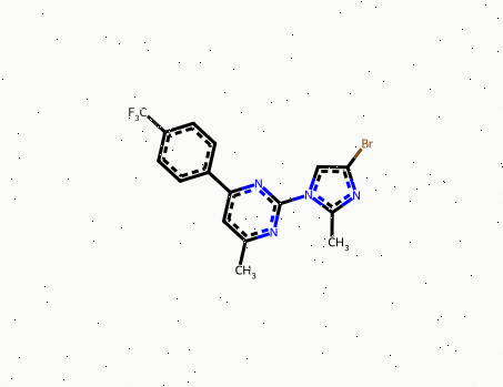 Cc1cc(-c2ccc(C(F)(F)F)cc2)nc(-n2cc(Br)nc2C)n1